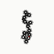 c1cc(-n2c3ccccc3c3ccccc32)c2sc3c(-n4c5ccccc5c5ccc(-c6ccc7c(c6)c6ccccc6n7-c6ccc7sc8ccc(-n9c%10ccccc%10c%10ccccc%109)cc8c7c6)cc54)cccc3c2c1